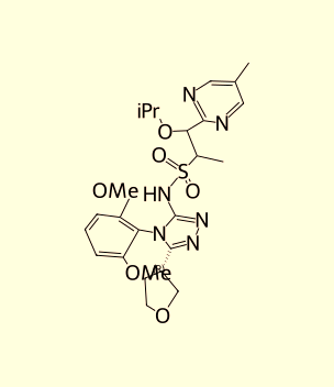 COc1cccc(OC)c1-n1c(NS(=O)(=O)C(C)C(OC(C)C)c2ncc(C)cn2)nnc1[C@H]1CCOC1